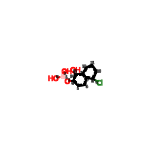 OB(O)Oc1ccc2c(Cl)cccc2c1O